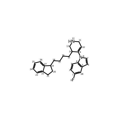 Fc1ccc2c(ccn2C2=CCNCC2CCCCC2CCc3ccccc32)c1